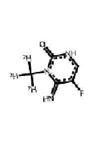 [2H]C([2H])([2H])n1c(=O)[nH]cc(F)c1=N